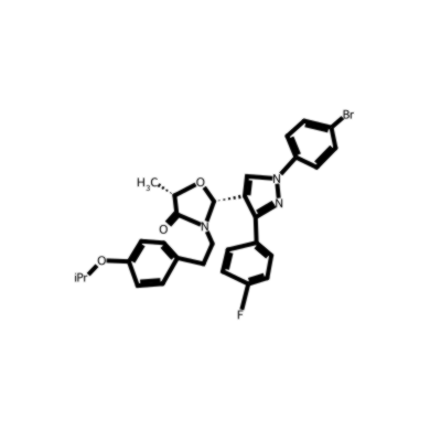 CC(C)Oc1ccc(CCN2C(=O)[C@H](C)O[C@@H]2c2cn(-c3ccc(Br)cc3)nc2-c2ccc(F)cc2)cc1